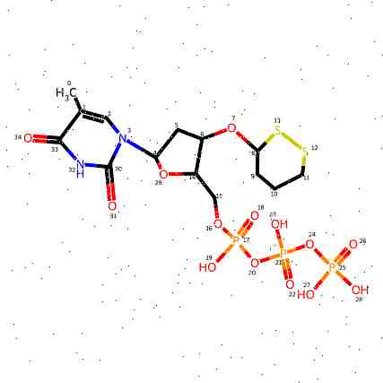 Cc1cn(C2CC(OC3CCCSS3)C(COP(=O)(O)OP(=O)(O)OP(=O)(O)O)O2)c(=O)[nH]c1=O